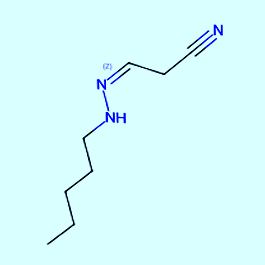 CCCCCN/N=C\CC#N